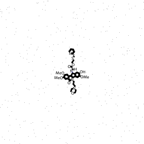 COc1cc2c(cc1O)/C(=N\NC(=O)OCCSSc1ccccn1)c1c-2n(CCCN2CCOCC2)c(=O)c2cc(OC)c(OC)cc12